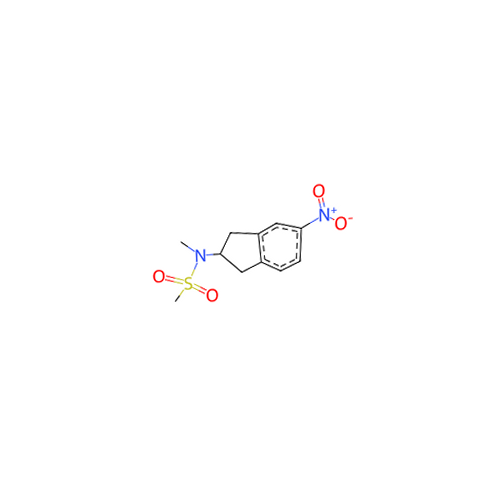 CN(C1Cc2ccc([N+](=O)[O-])cc2C1)S(C)(=O)=O